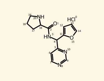 Cl.O=C(NC(c1ccncn1)c1ccco1)C1CCCN1